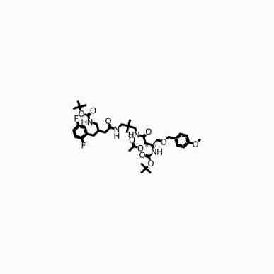 COc1ccc(COC[C@@H](NC(=O)OC(C)(C)C)[C@H](OC(C)=O)C(=O)NCC(C)(C)CNC(=O)CC(CNC(=O)OC(C)(C)C)Cc2cc(F)ccc2F)cc1